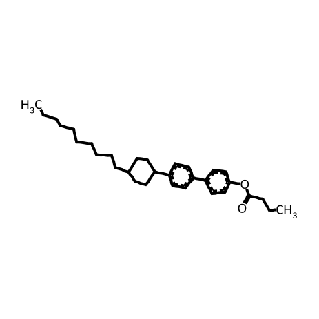 CCCCCCCCCCC1CCC(c2ccc(-c3ccc(OC(=O)CCC)cc3)cc2)CC1